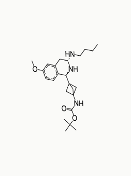 CCCCN[C@H]1Cc2cc(OC)ccc2[C@H](C23CC(NC(=O)OC(C)(C)C)(C2)C3)N1